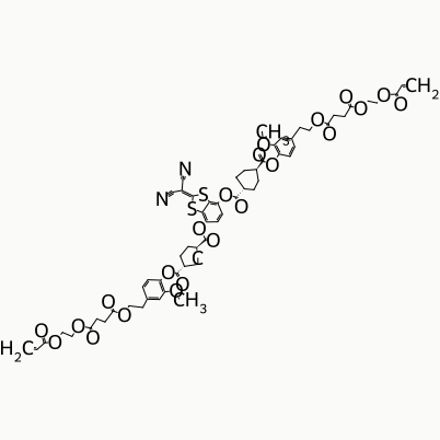 C=CC(=O)OCCOC(=O)CCC(=O)OCCc1ccc(OC(=O)[C@H]2CC[C@H](C(=O)Oc3ccc(OC(=O)[C@H]4CC[C@H](C(=O)Oc5ccc(CCOC(=O)CCC(=O)OCCOC(=O)C=C)cc5OC)CC4)c4c3SC(=C(C#N)C#N)S4)CC2)c(OC)c1